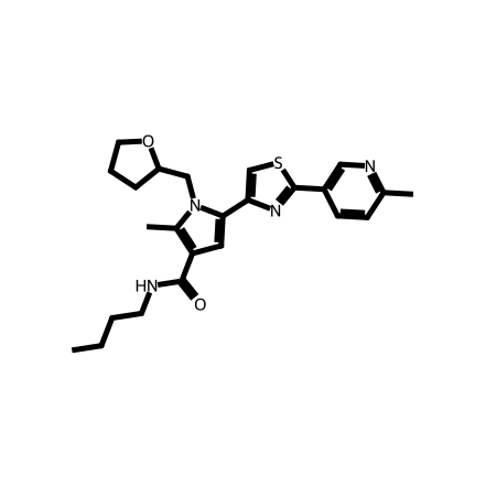 CCCCNC(=O)c1cc(-c2csc(-c3ccc(C)nc3)n2)n(CC2CCCO2)c1C